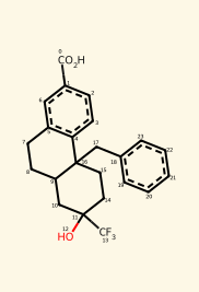 O=C(O)c1ccc2c(c1)CCC1CC(O)(C(F)(F)F)CCC21Cc1ccccc1